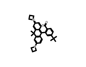 CC(C)(C)c1ccc(C(=O)[O-])c(C2=C3C=CC(=[N+]4CCC4)C=C3C(C)(C)c3cc(N4CCC4)ccc32)c1